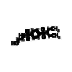 CCN(CC)S(=O)(=O)c1ccc(S(=O)(=O)NCCO)cc1